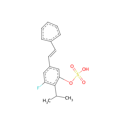 CC(C)c1c(F)cc(C=Cc2ccccc2)cc1OS(=O)(=O)O